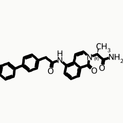 C[C@H](C(N)=O)n1ccc2c(NC(=O)Cc3ccc(-c4ccccc4)cc3)cccc2c1=O